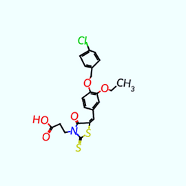 CCOc1cc(/C=C2/SC(=S)N(CCC(=O)O)C2=O)ccc1OCc1ccc(Cl)cc1